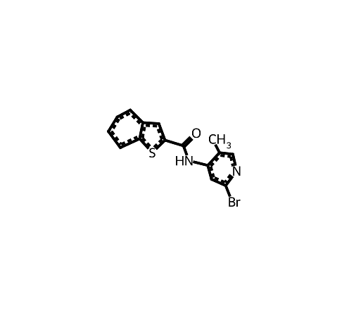 Cc1cnc(Br)cc1NC(=O)c1cc2ccccc2s1